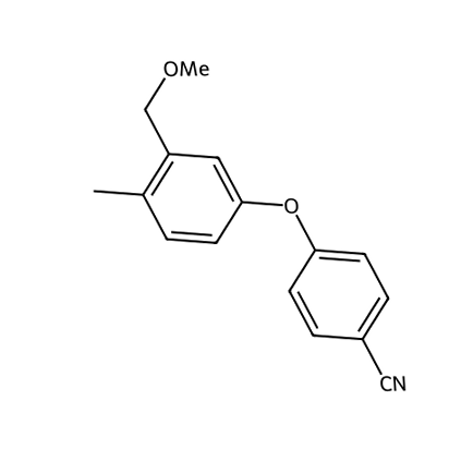 COCc1cc(Oc2ccc(C#N)cc2)ccc1C